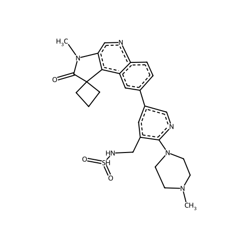 CN1CCN(c2ncc(-c3ccc4ncc5c(c4c3)C3(CCC3)C(=O)N5C)cc2CN[SH](=O)=O)CC1